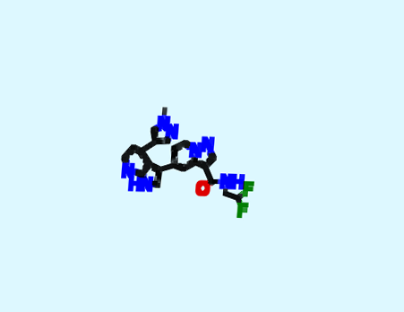 Cn1cc(-c2ccnc3[nH]cc(-c4ccn5ncc(C(=O)NCC(F)F)c5c4)c23)cn1